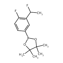 CC(F)c1cc(B2OC(C)(C)C(C)(C)O2)ccc1F